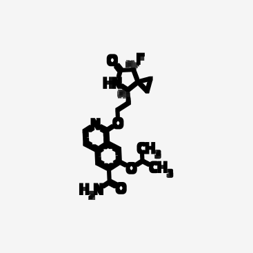 CC(C)Oc1cc2c(OCC[C@H]3NC(=O)[C@H](F)C34CC4)nccc2cc1C(N)=O